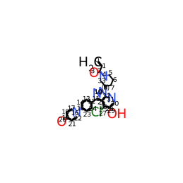 C=CC(=O)N1CCC[C@@H](n2nc(-c3ccc(-n4ccc(=O)cc4)cc3)c3c(Cl)c(O)cnc32)C1